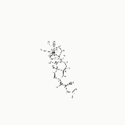 CC(C)CC(=O)N(C)[C@H]1CC[C@@]2(C)C(=CC[C@@H]3C2CC[C@]24CN(C)[C@@H](C)[C@H]2CC[C@@H]34)C1